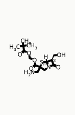 CC(C)(C)C(=O)OCOC(=O)C1(CN)CN2C(=O)[C@H](CO)[C@H]2S1